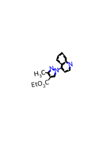 CCOC(=O)c1cn(-c2ccnc3ccccc23)nc1C